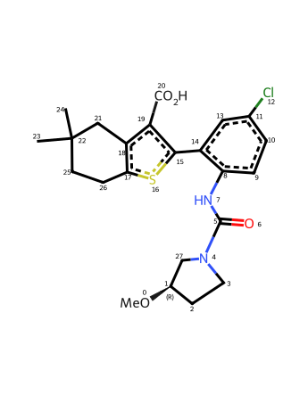 CO[C@@H]1CCN(C(=O)Nc2ccc(Cl)cc2-c2sc3c(c2C(=O)O)CC(C)(C)CC3)C1